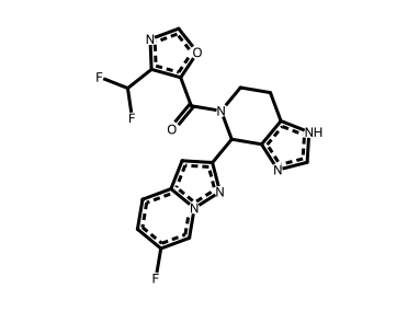 O=C(c1ocnc1C(F)F)N1CCc2[nH]cnc2C1c1cc2ccc(F)cn2n1